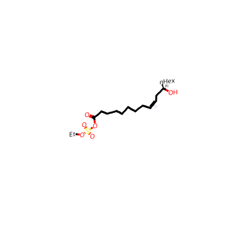 CCCCCC[C@@H](O)C/C=C\CCCCCCCC(=O)OS(=O)(=O)OCC